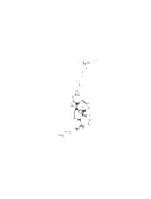 CC(C)CCC[C@@H](C)[C@H]1CC[C@H]2[C@@H]3CC=C4C[C@@H](OCCCCCC(=O)O)CC[C@]4(C)[C@H]3CC[C@]12C